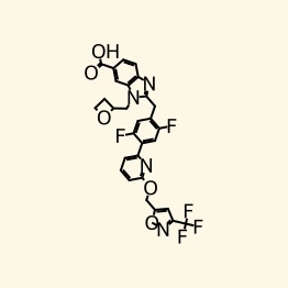 O=C(O)c1ccc2nc(Cc3cc(F)c(-c4cccc(OCc5cc(C(F)(F)F)no5)n4)cc3F)n(CC3CCO3)c2c1